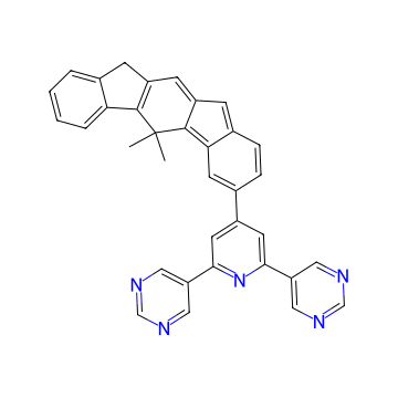 CC1(C)C2=C(C=C3C=c4ccc(-c5cc(-c6cncnc6)nc(-c6cncnc6)c5)cc4=C31)Cc1ccccc12